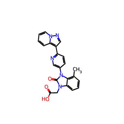 Cc1cccc2c1n(-c1ccc(-c3cnn4ccccc34)nc1)c(=O)n2CC(=O)O